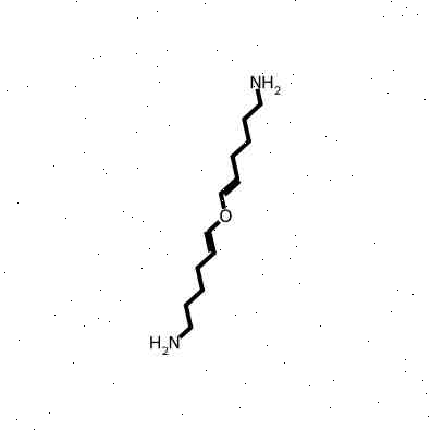 NCCCCC=COC=CCCCCN